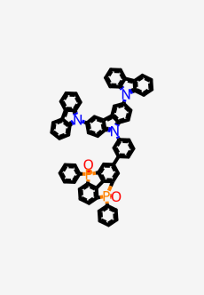 O=P1(c2ccccc2)c2cccc3c2-c2c1cc(-c1cccc(-n4c5ccc(-n6c7ccccc7c7ccccc76)cc5c5cc(-n6c7ccccc7c7ccccc76)ccc54)c1)cc2P3(=O)c1ccccc1